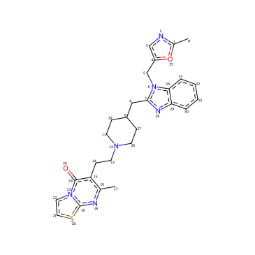 Cc1ncc(Cn2c(CC3CCN(CCc4c(C)nc5sccn5c4=O)CC3)nc3ccccc32)o1